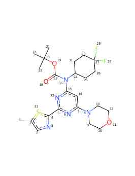 Cc1cnc(-c2nc(N3CCOCC3)cc(N(C(=O)OC(C)(C)C)C3CCC(F)(F)CC3)n2)s1